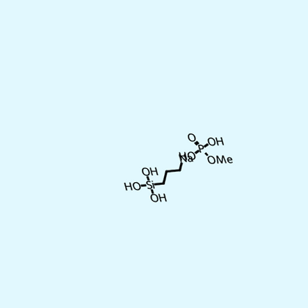 COP(=O)(O)O.O[Si](O)(O)CC[CH2][Na]